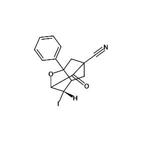 N#CC12CC3[C@H](I)C(OC3(c3ccccc3)C1)C2=O